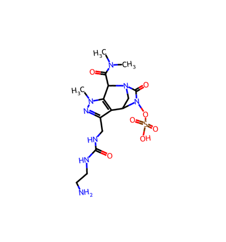 CN(C)C(=O)C1c2c(c(CNC(=O)NCCN)nn2C)C2CN1C(=O)N2OS(=O)(=O)O